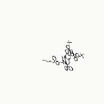 CCCCCC(=O)OCCN[C@@H](Cc1ccc(OC(=O)OCC(C)(C)C)c(OC(=O)OCC(C)(C)C)c1)C(=O)OC